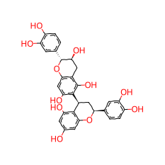 Oc1cc(O)c2c(c1)O[C@H](c1ccc(O)c(O)c1)C[C@@H]2c1c(O)cc2c(c1O)C[C@H](O)[C@@H](c1ccc(O)c(O)c1)O2